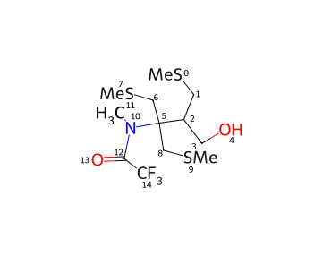 CSCC(CO)C(CSC)(CSC)N(C)C(=O)C(F)(F)F